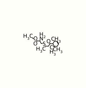 CCOC(=O)C(N)CSC(C)CC(=O)C1C(C)C=CCC1(C)C